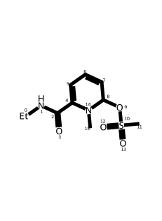 CCNC(=O)C1=CC=CC(OS(C)(=O)=O)N1C